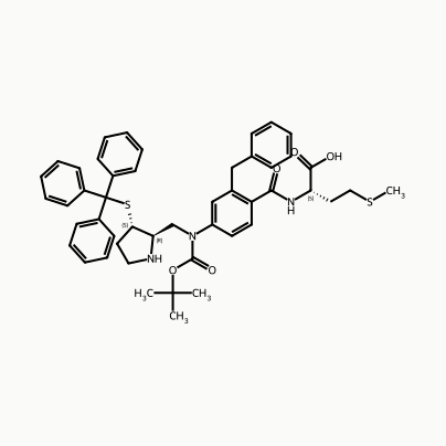 CSCC[C@H](NC(=O)c1ccc(N(C[C@H]2NCC[C@@H]2SC(c2ccccc2)(c2ccccc2)c2ccccc2)C(=O)OC(C)(C)C)cc1Cc1ccccc1)C(=O)O